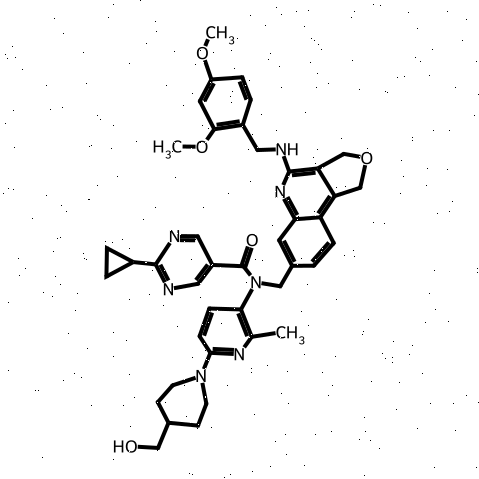 COc1ccc(CNc2nc3cc(CN(C(=O)c4cnc(C5CC5)nc4)c4ccc(N5CCC(CO)CC5)nc4C)ccc3c3c2COC3)c(OC)c1